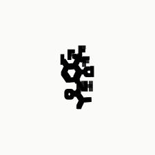 CC(C)C(=O)Nc1ccc(I)c(C(F)(F)F)c1Cl